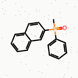 CP(=O)(c1ccccc1)c1ccc2ccccc2c1